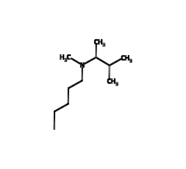 CC(C)C(C)N(C)CCCCI